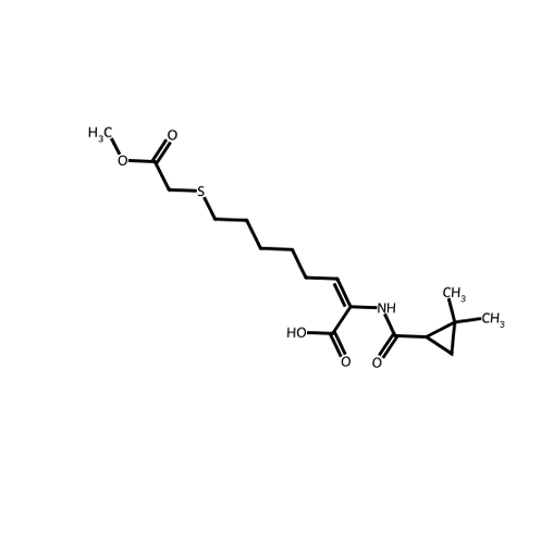 COC(=O)CSCCCCCC=C(NC(=O)C1CC1(C)C)C(=O)O